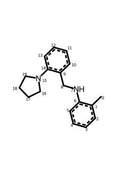 Cc1ccccc1NCc1ccccc1N1CCCC1